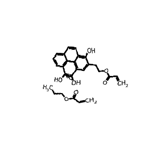 C=CC(=O)OCCC.C=CC(=O)OCCc1cc(C(=O)O)c2c(ccc3cccc(C(=O)O)c32)c1O